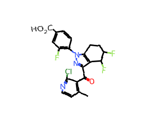 Cc1ccnc(Cl)c1C(=O)c1nn(-c2ccc(C(=O)O)cc2F)c2c1C(F)C(F)CC2